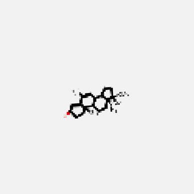 CC(=O)O[C@]1(C(C)=O)CCC2C3C=C(C)C4=CC(=O)CCC4(C)C3CCC21C